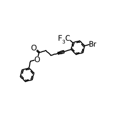 O=C(CCC#Cc1ccc(Br)cc1C(F)(F)F)OCc1ccccc1